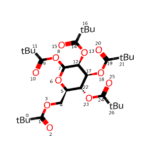 CC(C)(C)C(=O)OC[C@H]1OC(OC(=O)C(C)(C)C)[C@@H](OC(=O)C(C)(C)C)[C@@H](OC(=O)C(C)(C)C)[C@@H]1OC(=O)C(C)(C)C